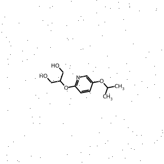 CC(C)Oc1ccc(OC(CO)CO)nc1